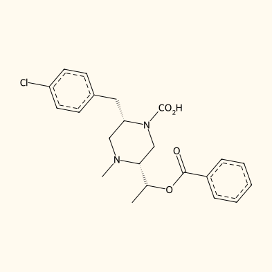 CC(OC(=O)c1ccccc1)[C@H]1CN(C(=O)O)[C@@H](Cc2ccc(Cl)cc2)CN1C